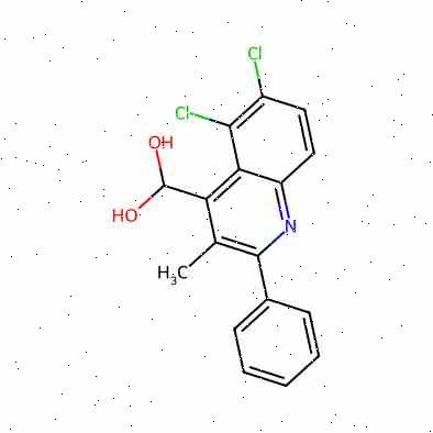 Cc1c(-c2ccccc2)nc2ccc(Cl)c(Cl)c2c1C(O)O